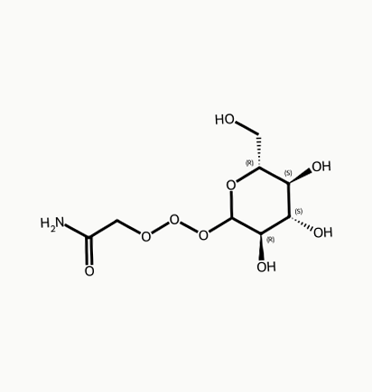 NC(=O)COOOC1O[C@H](CO)[C@@H](O)[C@H](O)[C@H]1O